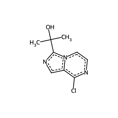 CC(C)(O)c1ncc2c(Cl)nccn12